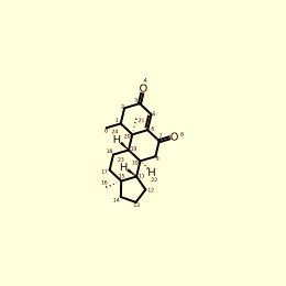 CC1CC(=O)C=C2C(=O)C[C@H]3[C@@H]4CCC[C@@]4(C)CC[C@@H]3[C@]21C